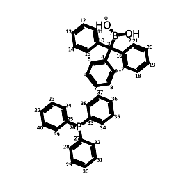 OB(O)C(c1ccccc1)(c1ccccc1)c1ccccc1.c1ccc(P(c2ccccc2)c2ccccc2)cc1